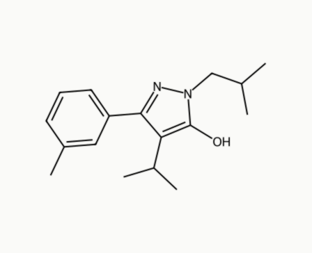 Cc1cccc(-c2nn(CC(C)C)c(O)c2C(C)C)c1